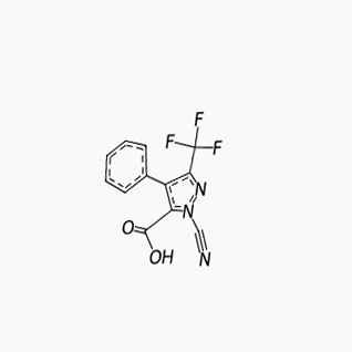 N#Cn1nc(C(F)(F)F)c(-c2ccccc2)c1C(=O)O